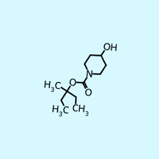 CCC(C)(CC)OC(=O)N1CCC(O)CC1